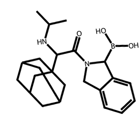 CC(C)NC(C(=O)N1Cc2ccccc2C1B(O)O)C12CC3CC(CC(C3)C1)C2